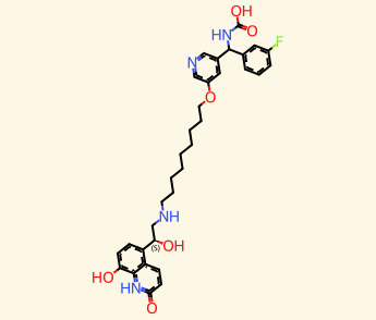 O=C(O)NC(c1cccc(F)c1)c1cncc(OCCCCCCCCCNC[C@@H](O)c2ccc(O)c3[nH]c(=O)ccc23)c1